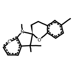 Cc1ccc2c(c1)CC[C@]1(O2)N(C)c2ccccc2C1(C)C